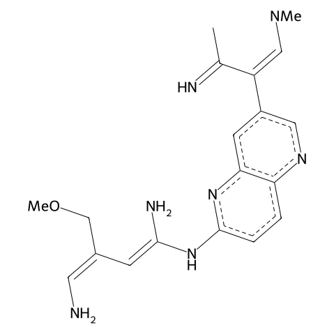 CN/C=C(\C(C)=N)c1cnc2ccc(N/C(N)=C/C(=C\N)COC)nc2c1